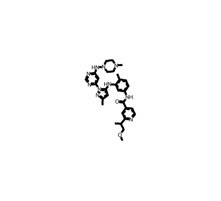 COCC(C)c1cc(C(=O)Nc2ccc(C)c(Nc3cc(C)nn3-c3cc(NN4CCN(C)CC4)ncn3)c2)ccn1